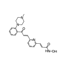 CN1CCN(c2ccccc2C(=O)C=Cc2cccc(C=CC(=O)NO)n2)CC1